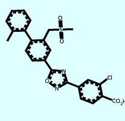 Cc1ccccc1-c1ccc(-c2nc(-c3ccc(C(=O)O)c(Cl)c3)no2)cc1CS(C)(=O)=O